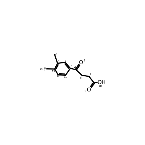 Cc1cc(C(=O)CCC(=O)O)ccc1F